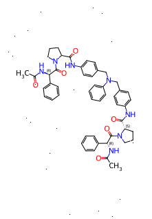 CC(=O)N[C@@H](C(=O)N1CCCC1C(=O)Nc1ccc(CN(Cc2ccc(NC(=O)[C@@H]3CCCN3C(=O)[C@H](NC(C)=O)c3ccccc3)cc2)c2ccccc2)cc1)c1ccccc1